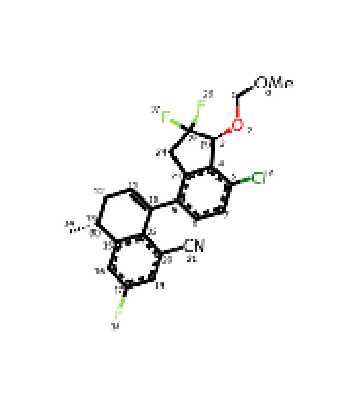 COCO[C@H]1c2c(Cl)ccc(C3=CC[C@@H](C)c4cc(F)cc(C#N)c43)c2CC1(F)F